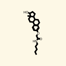 CCCCCNC(=O)COc1ccc2c(c1)CCC1C2CCC2(C)C(O)CCC12